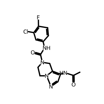 CC(=O)Nc1cnn2c1CN(C(=O)Nc1ccc(F)c(Cl)c1)CC2